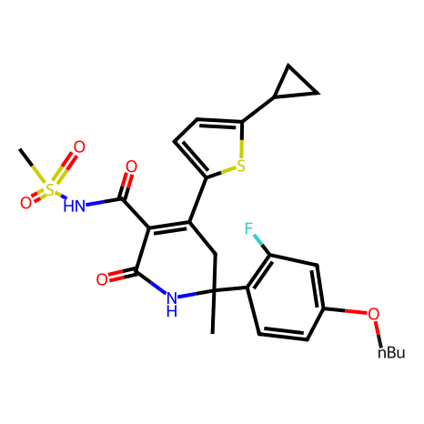 CCCCOc1ccc(C2(C)CC(c3ccc(C4CC4)s3)=C(C(=O)NS(C)(=O)=O)C(=O)N2)c(F)c1